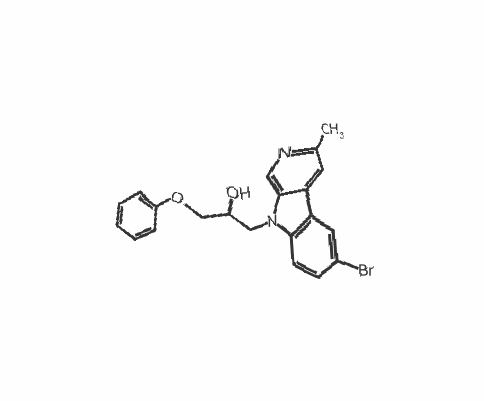 Cc1cc2c3cc(Br)ccc3n(CC(O)COc3ccccc3)c2cn1